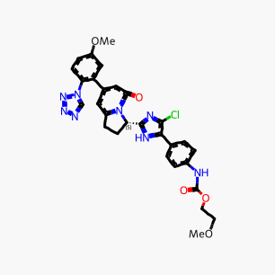 COCCOC(=O)Nc1ccc(-c2[nH]c([C@@H]3CCc4cc(-c5cc(OC)ccc5-n5cnnn5)cc(=O)n43)nc2Cl)cc1